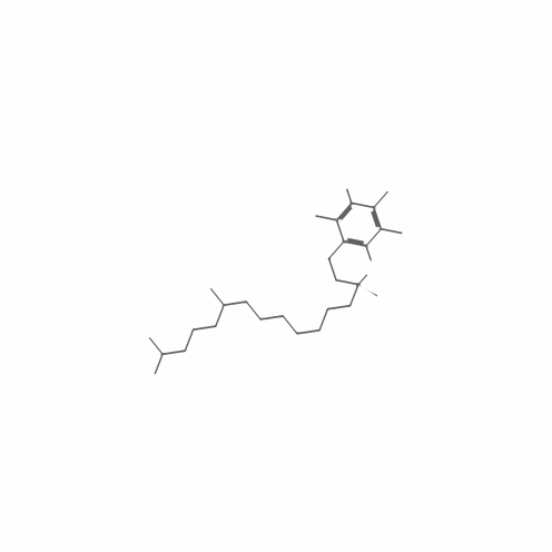 Cc1c(C)c2c(c(C)c1O)CC[C@@](C)(CCC[C@H](C)CCCC(C)CCCC(C)C)O2